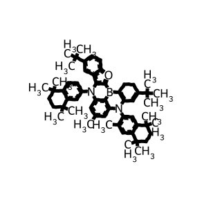 Cc1cc2c3c(c1)N(c1ccc4c(c1)C(C)(C)CCC4(C)C)c1c(oc4ccc(C(C)(C)C)cc14)B3C1=C(C=C(C(C)(C)C)CC1)N2c1cc2c(cc1C)C(C)(C)CCC2(C)C